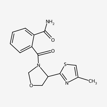 Cc1csc(C2COCN2C(=O)c2ccccc2C(N)=O)n1